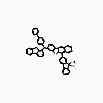 CC1(C)c2ccccc2-c2ccc(C3=c4ccccc4=CC4c5ccc(C(c6ccc(-c7ccccc7)cc6)c6cccc7c6Cc6ccccc6-7)cc5OC34)cc21